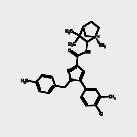 Cc1ccc(Cn2nc(C(=O)NC3C(C)(C)C4CC[C@]3(C)C4)cc2-c2ccc(Cl)c(C)c2)cc1